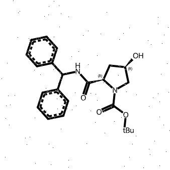 CC(C)(C)OC(=O)N1C[C@H](O)C[C@@H]1C(=O)NC(c1ccccc1)c1ccccc1